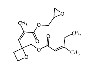 CCC(C)=CC(=O)OCC1(C=C(C)C(=O)OCC2CO2)CCO1